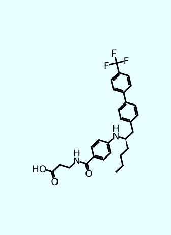 CCCC[C@H](Cc1ccc(-c2ccc(C(F)(F)F)cc2)cc1)Nc1ccc(C(=O)NCCC(=O)O)cc1